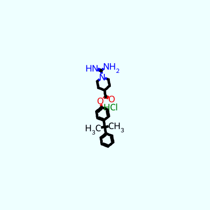 CC(C)(c1ccccc1)c1ccc(OC(=O)C2CCN(C(=N)N)CC2)cc1.Cl